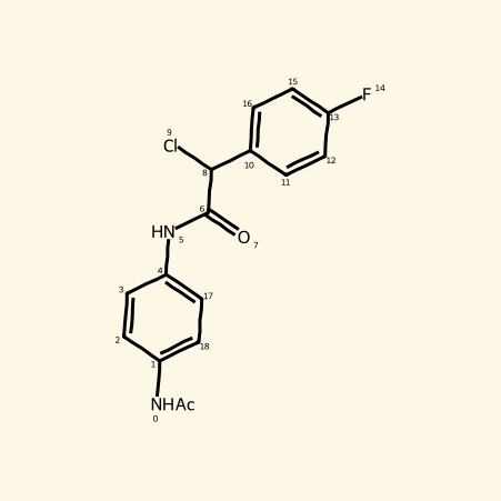 CC(=O)Nc1ccc(NC(=O)C(Cl)c2ccc(F)cc2)cc1